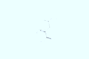 CC(C)CC(=NO)C(=O)O